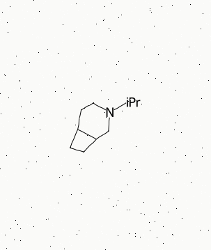 CC(C)N1CCC2CCC2C1